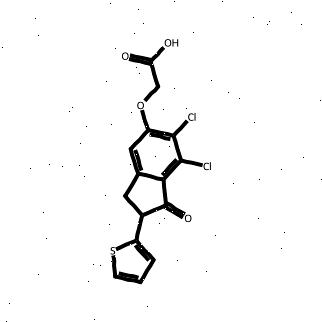 O=C(O)COc1cc2c(c(Cl)c1Cl)C(=O)C(c1cccs1)C2